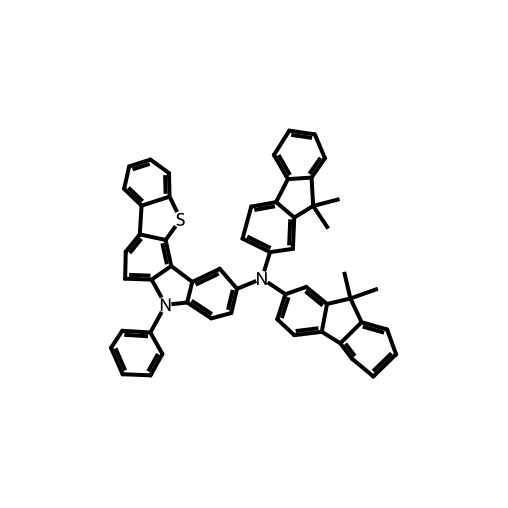 CC1(C)c2ccccc2-c2ccc(N(c3ccc4c(c3)C(C)(C)c3ccccc3-4)c3ccc4c(c3)c3c5sc6ccccc6c5ccc3n4-c3ccccc3)cc21